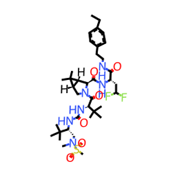 CCc1ccc(CCNC(=O)[C@H](CC(F)F)NC(=O)[C@@H]2[C@@H]3[C@H](CN2C(=O)[C@@H](NC(=O)N[C@H](CN(C)S(C)(=O)=O)C(C)(C)C)C(C)(C)C)C3(C)C)cc1